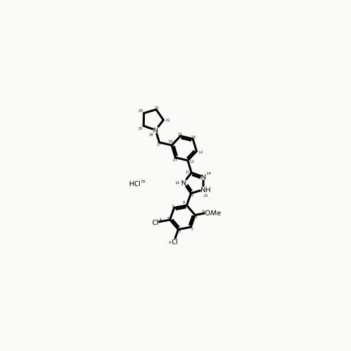 COc1cc(Cl)c(Cl)cc1-c1nc(-c2cccc(CN3CCCC3)c2)n[nH]1.Cl